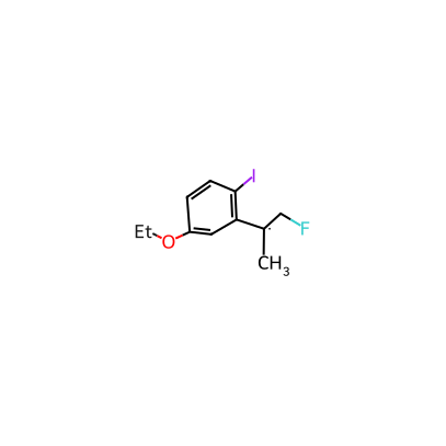 CCOc1ccc(I)c([C](C)CF)c1